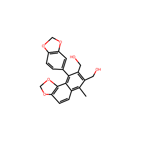 Cc1c(CO)c(CO)c(-c2ccc3c(c2)OCO3)c2c3c(ccc12)OCO3